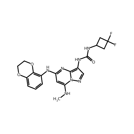 CNc1cc(Nc2cccc3c2OCCO3)nc2c(NC(=O)NC3CC(F)(F)C3)cnn12